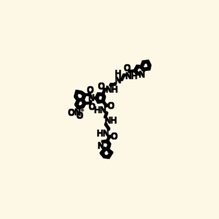 O=C(NCCNCCNC(=O)c1cnc2ccccc2c1)c1cc(C(=O)NCCNCCNC(=O)c2cnc3ccccc3c2)cc(N2C(=O)c3cccc4cc([N+](=O)[O-])cc(c34)C2=O)c1